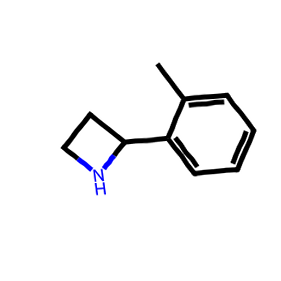 Cc1ccccc1C1CCN1